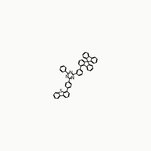 c1ccc(-c2nc(-c3ccc(-c4cccc5c4sc4ccccc45)cc3)nc(-c3cccc(-c4cccc5c4-c4ccccc4C54c5ccccc5-c5ccccc54)c3)n2)cc1